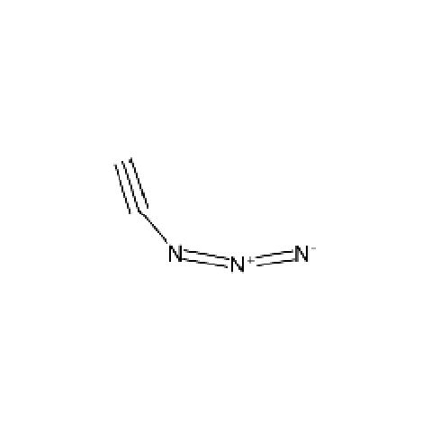 [C]#CN=[N+]=[N-]